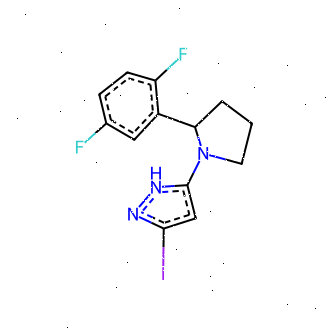 Fc1ccc(F)c(C2CCCN2c2cc(I)n[nH]2)c1